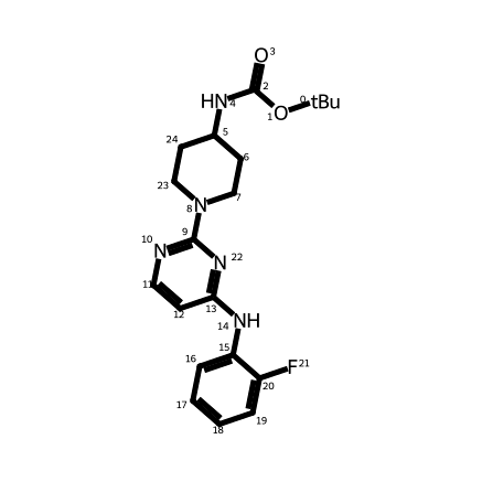 CC(C)(C)OC(=O)NC1CCN(c2nccc(Nc3ccccc3F)n2)CC1